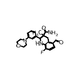 CC1(C(N)=O)Cc2c([C]=O)ccc(F)c2NC1c1cccc(N2CCOCC2)c1